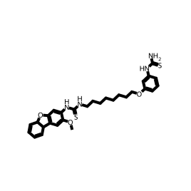 COc1cc2c(cc1NC(=S)NCCCCCCCCOc1cccc(NC(N)=S)c1)OC1C=CC=CC21